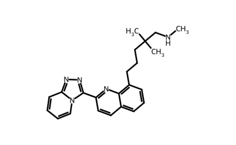 CNCC(C)(C)CCCc1cccc2ccc(-c3nnc4ccccn34)nc12